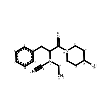 CCN(C#N)C(Cc1ccccc1)C(=O)N1CCC(C)CC1